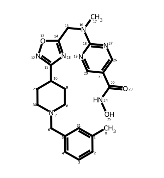 Cc1cccc(CN2CCC(c3noc(CN(C)c4ncc(C(=O)NO)cn4)n3)CC2)c1